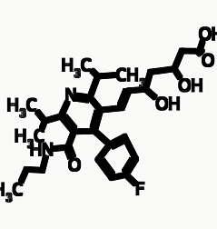 CCCNC(=O)c1c(C(C)C)nc(C(C)C)c(/C=C/C(O)CC(O)CC(=O)O)c1-c1ccc(F)cc1